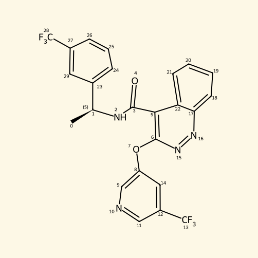 C[C@H](NC(=O)c1c(Oc2cncc(C(F)(F)F)c2)nnc2ccccc12)c1cccc(C(F)(F)F)c1